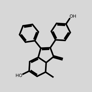 C=C1C(c2ccc(O)cc2)=C(c2ccccc2)C2=CC(O)=CC(C)C12